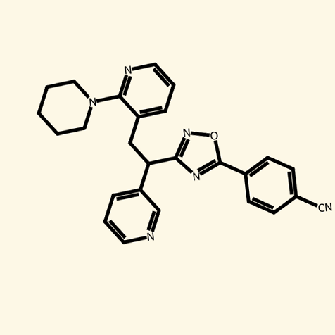 N#Cc1ccc(-c2nc(C(Cc3cccnc3N3CCCCC3)c3cccnc3)no2)cc1